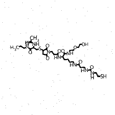 CCCNC(=O)C(CSC1CC(=O)N(CCC(=O)NC(CCCCNC(=O)CCNC(=O)NCCS)C(=O)NCCOCCO)C1=O)NC(C)=O